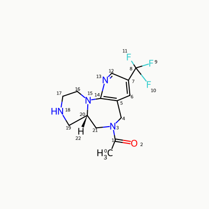 CC(=O)N1Cc2cc(C(F)(F)F)cnc2N2CCNC[C@H]2C1